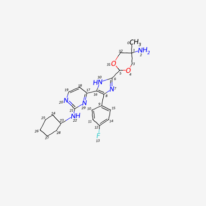 CC1(N)COC(c2nc(-c3ccc(F)cc3)c(-c3ccnc(NC4CCCCC4)n3)[nH]2)OC1